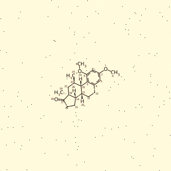 COc1cc2c(c(OC)c1)[C@@H]1[C@H](CC2)[C@@H]2CCC(=O)[C@@]2(C)C[C@H]1C